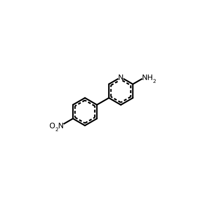 Nc1ccc(-c2ccc([N+](=O)[O-])cc2)cn1